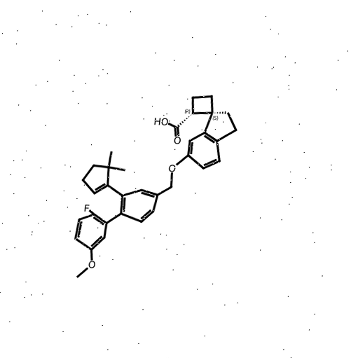 COc1ccc(F)c(-c2ccc(COc3ccc4c(c3)[C@]3(CC4)CC[C@H]3C(=O)O)cc2C2=CCCC2(C)C)c1